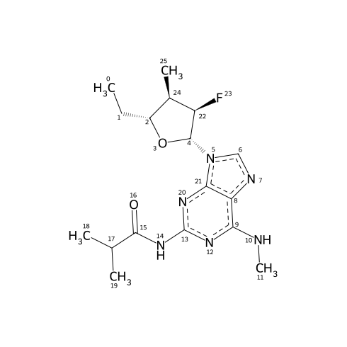 CC[C@H]1O[C@@H](n2cnc3c(NC)nc(NC(=O)C(C)C)nc32)[C@H](F)[C@@H]1C